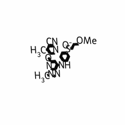 COCCC[S+]([O-])c1ccc(Nc2cc(Oc3cnc(C#N)cc3C)nc3c2ncn3C)cc1